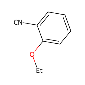 [C-]#[N+]c1ccccc1OCC